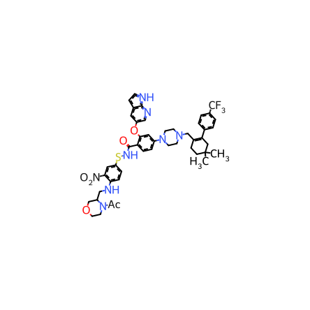 CC(=O)N1CCOCC1CNc1ccc(SNC(=O)c2ccc(N3CCN(CC4=C(c5ccc(C(F)(F)F)cc5)CC(C)(C)CC4)CC3)cc2Oc2cnc3[nH]ccc3c2)cc1[N+](=O)[O-]